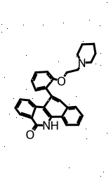 O=c1[nH]c2c3ccccc3cc(-c3ccccc3OCCN3CCCCC3)c2c2ccccc12